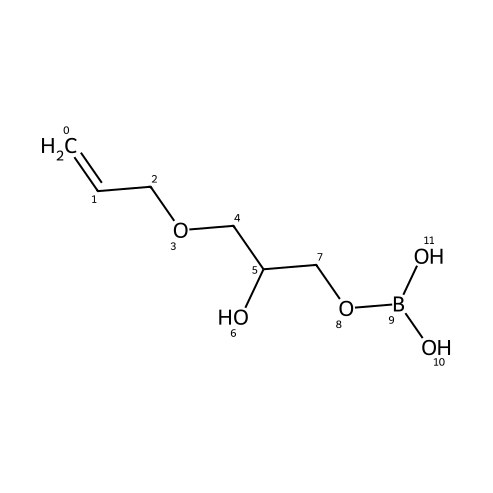 C=CCOCC(O)COB(O)O